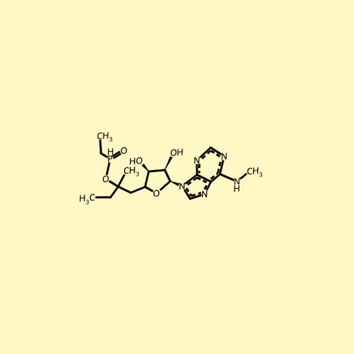 CC[PH](=O)OC(C)(CC)CC1O[C@H](n2cnc3c(NC)ncnc32)[C@H](O)[C@@H]1O